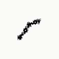 FC(F)Oc1ccc(/C=C/c2nc(COc3ccc(COCCn4ccnn4)cc3)co2)cc1